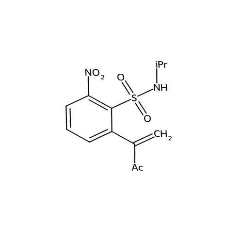 C=C(C(C)=O)c1cccc([N+](=O)[O-])c1S(=O)(=O)NC(C)C